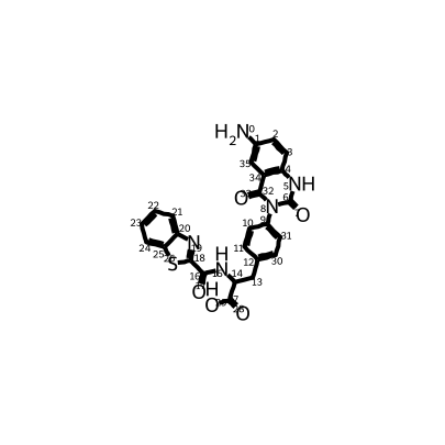 Nc1ccc2[nH]c(=O)n(-c3ccc(CC(NC(=O)c4nc5ccccc5s4)C(=O)O)cc3)c(=O)c2c1